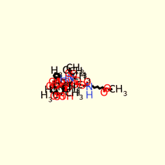 CCOC(=O)CCCCCNC(=O)COCC(=O)O[C@@H](C(=O)O[C@H]1C[C@@]2(O)[C@@H](OC(=O)c3ccccc3)[C@@H]3[C@]4(OC(C)=O)CO[C@@H]4C[C@H](O)[C@@]3(C)C(=O)[C@H](O)C(=C1C)C2(C)C)[C@@H](CC)NC(=O)OC(C)(C)C